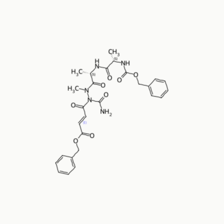 C[C@H](NC(=O)OCc1ccccc1)C(=O)N[C@@H](C)C(=O)N(C)N(C(N)=O)C(=O)/C=C/C(=O)OCc1ccccc1